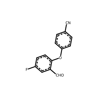 N#Cc1ccc(Oc2ccc(F)cc2C=O)cc1